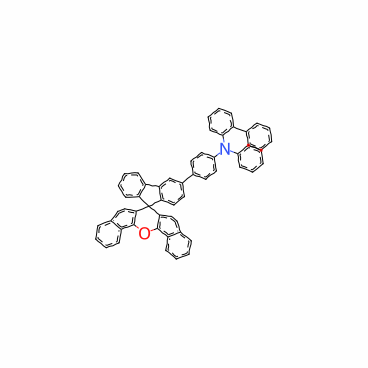 c1ccc(-c2ccccc2N(c2ccccc2)c2ccc(-c3ccc4c(c3)-c3ccccc3C43c4ccc5ccccc5c4Oc4c3ccc3ccccc43)cc2)cc1